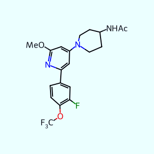 COc1cc(N2CCC(NC(C)=O)CC2)cc(-c2ccc(OC(F)(F)F)c(F)c2)n1